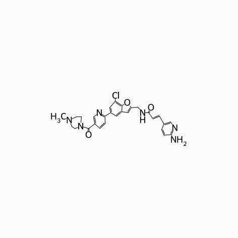 CN1CCN(C(=O)c2ccc(-c3cc(Cl)c4oc(CNC(=O)/C=C/c5ccc(N)nc5)cc4c3)nc2)CC1